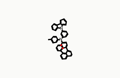 Cc1ccc(N(c2ccc(-c3cccc4cccc(-c5ccccc5)c34)cc2)c2cccc(-n3c4ccccc4c4ccccc43)c2)cc1